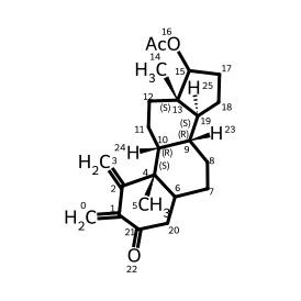 C=C1C(=C)[C@@]2(C)C(CC[C@@H]3[C@H]2CC[C@]2(C)C(OC(C)=O)CC[C@@H]32)CC1=O